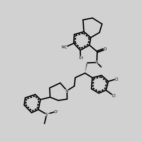 CCc1c(C#N)cc2c(c1C(=O)N(C)C[C@@H](CCN1CCC(c3ccccc3[S+](C)[O-])CC1)c1ccc(Cl)c(Cl)c1)CCCC2